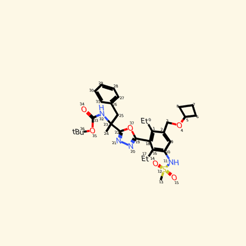 CCc1c(COC2CCC2)cc(NS(C)(=O)=O)c(CC)c1-c1nnc(C(C)(Cc2ccccc2)NC(=O)OC(C)(C)C)o1